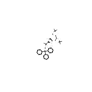 C/C(=N\OC(c1ccccc1)(c1ccccc1)c1ccccc1)c1ncc([C@H]2OC(C)(C)O[C@@H]2[C@H]2COC(C)(C)O2)[nH]1